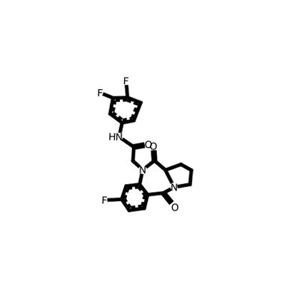 O=C(CN1C(=O)C2CCCN2C(=O)c2ccc(F)cc21)Nc1ccc(F)c(F)c1